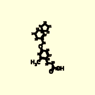 Cc1cc(OCC2=CC3(CCCC3)CCC2)ccc1CCC(=O)O